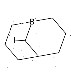 IC1B2CCCC1CCC2